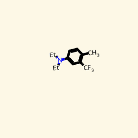 CCN(CC)c1ccc(C)c(C(F)(F)F)c1